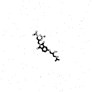 CC(C)NCC(O)COc1ccc2c(c1)C(=O)N(CC(CO[N+](=O)[O-])O[N+](=O)[O-])C2=O